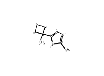 CC1(c2nnc(N)s2)CCC1